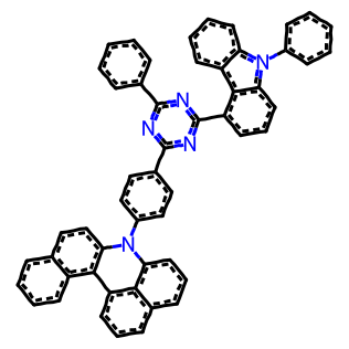 c1ccc(-c2nc(-c3ccc(N4c5ccc6ccccc6c5-c5cccc6cccc4c56)cc3)nc(-c3cccc4c3c3ccccc3n4-c3ccccc3)n2)cc1